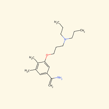 C=C(N)c1cc(C)c(C)c(OCCCN(CCC)CCC)c1